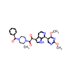 COc1ncc(-c2nccc3c(C(=O)C(=O)N4CCN(C(=O)c5ccccc5)C[C@H]4C)c[nH]c23)c(OC)n1